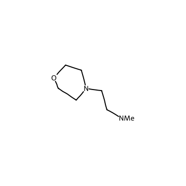 [CH2-][NH2+]CCN1CCOCC1